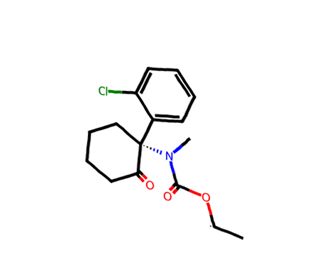 C[CH]OC(=O)N(C)[C@@]1(c2ccccc2Cl)CCCCC1=O